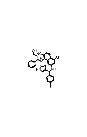 N#Cc1cnc2c(Cl)cc(N[C@@H](c3ccc(F)cc3)c3c[nH]nn3)cc2c1N[C@@H](CCO)c1ccccc1